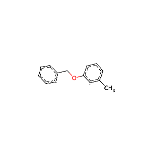 Cc1[c]c(OCc2ccccc2)ccc1